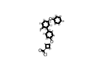 O=C(Cl)[C@H]1C[C@H](Oc2ccc(-c3cc(Oc4ccccc4)ccc3F)cc2)C1